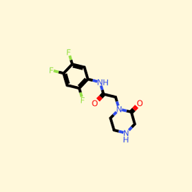 O=C(CN1CCNCC1=O)Nc1cc(F)c(F)cc1F